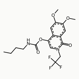 CCCCNC(=O)Oc1cn(CC(F)(F)F)c(=O)c2cc(OC)c(OC)cc12